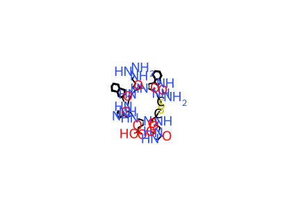 N=C(N)NCCC[C@@H]1NC(=O)[C@@H](Cc2ccc3ccccc3c2)NC(=O)[C@H](Cc2cnc[nH]2)NC(=O)[C@H](CCC(=O)O)NC(=O)[C@@H](NC(=O)CN2C(=O)CNC2=O)CSSC[C@@H](C(N)=O)NC(=O)[C@H](Cc2c[nH]c3ccccc23)NC1=O